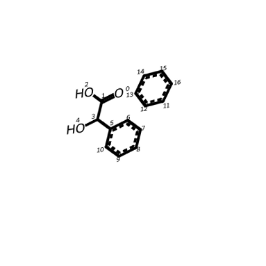 O=C(O)C(O)c1ccccc1.c1ccccc1